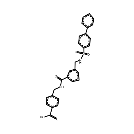 O=C(O)c1ccc(CNC(=O)c2cccc(CNS(=O)(=O)c3ccc(-c4ccccc4)cc3)c2)cc1